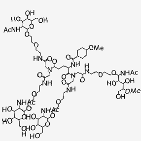 COC1CCC(C(=O)NC(CCC(=O)N(CC(=O)NCCOCCOC2OC(CO)C(O)C(O)C2NC(C)=O)CC(=O)NCCOCCOC2OC(CO)C(O)C(O)C2NC(C)=O)C(=O)N(CC(=O)NCCOCCOC(NC(C)=O)C(O)C(O)C(CO)OC)CC(=O)NCCOCCOC2OC(CO)C(O)C(O)C2NC(C)=O)CC1